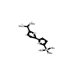 CCC[CH2][Sn]([CH2]CCC)([CH2]CCC)[c]1ccc(-c2ccc(C(OC)OC)s2)s1